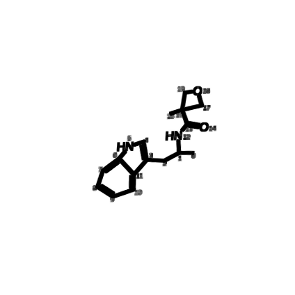 CC(Cc1c[nH]c2ccccc12)NC(=O)C1(C)COC1